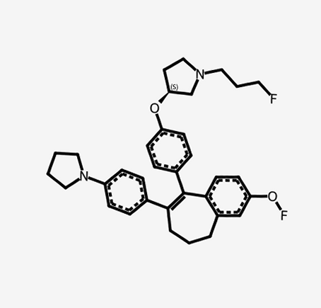 FCCCN1CC[C@H](Oc2ccc(C3=C(c4ccc(N5CCCC5)cc4)CCCc4cc(OF)ccc43)cc2)C1